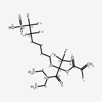 C=C(F)C(=O)OC(OCCCCC(F)(F)C(F)(F)S(=O)(=O)O)(C(=O)N(CC)CC)C(F)(F)F